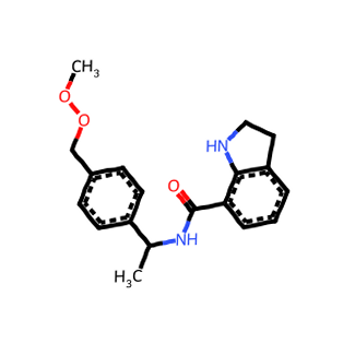 COOCc1ccc(C(C)NC(=O)c2cccc3c2NCC3)cc1